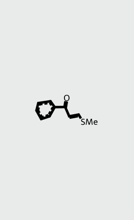 CSC=CC(=O)c1ccccc1